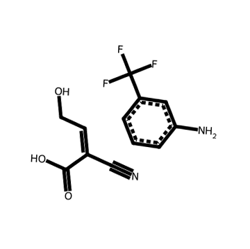 N#CC(=CCO)C(=O)O.Nc1cccc(C(F)(F)F)c1